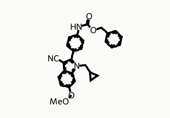 COOc1ccc2c(C#N)c(-c3ccc(NC(=O)OCc4ccccc4)cc3)n(CC3CC3)c2c1